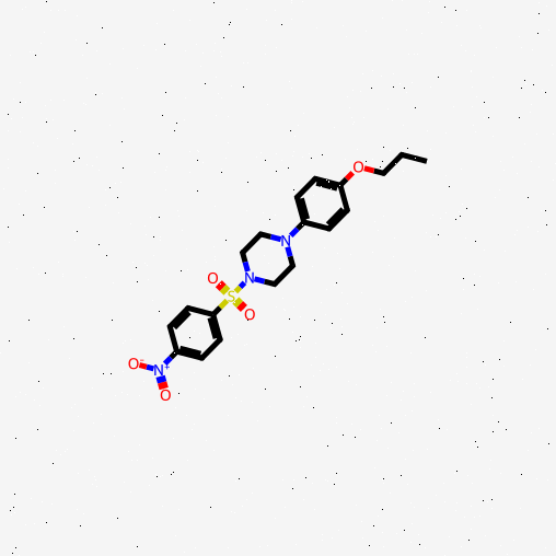 CCCOc1ccc(N2CCN(S(=O)(=O)c3ccc([N+](=O)[O-])cc3)CC2)cc1